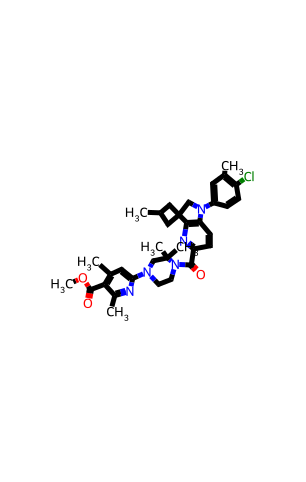 COC(=O)c1c(C)cc(N2CCN(C(=O)c3ccc4c(n3)C3(CC(C)C3)CN4c3ccc(Cl)c(C)c3)C(C)(C)C2)nc1C